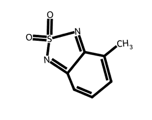 Cc1cccc2c1=NS(=O)(=O)N=2